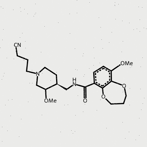 COc1ccc(C(=O)NC[C@@H]2CCN(CCCC#N)CC2OC)c2c1OCCCO2